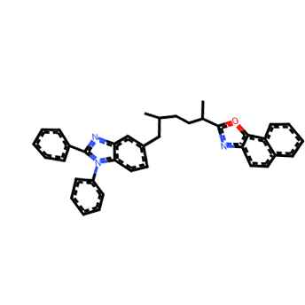 CC(CCC(C)c1nc2ccc3ccccc3c2o1)Cc1ccc2c(c1)nc(-c1ccccc1)n2-c1ccccc1